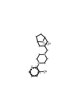 CCOC(=O)N1C2CCC1CC(CN1CCN(c3ncccc3C#N)CC1)C2